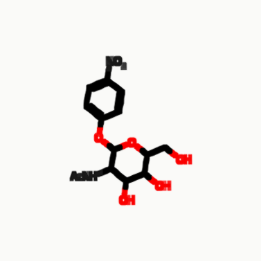 CC(=O)NC1C(Oc2ccc([N+](=O)[O-])cc2)OC(CO)C(O)C1O